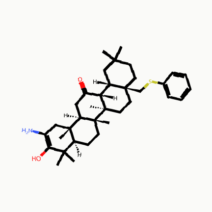 CC1(C)CC[C@]2(CSc3ccccc3)CC[C@]3(C)[C@H](C(=O)C[C@@H]4[C@@]5(C)CC(N)=C(O)C(C)(C)[C@@H]5CC[C@]43C)[C@@H]2C1